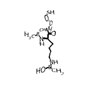 CB(O)NCCCCC(NB(C)O)C(=O)NOOS